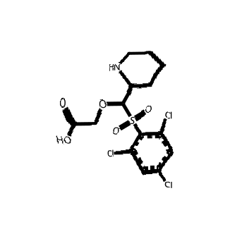 O=C(O)COC(C1CCCCN1)S(=O)(=O)c1c(Cl)cc(Cl)cc1Cl